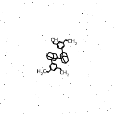 C=Cc1cc(C=C)cc(C23CC4CC(C2)CC(C25CC6CC(CC(c7cc(C=C)cc(C=C)c7)(C6)C2)C5)(C4)C3)c1